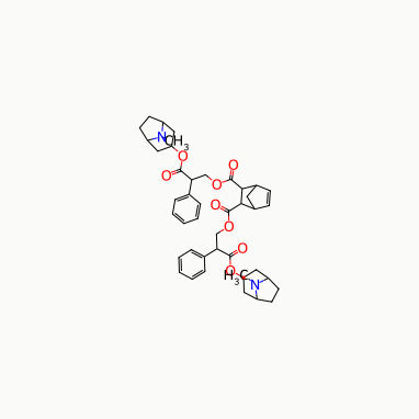 CN1C2CCC1CC(OC(=O)C(COC(=O)C1C3C=CC(C3)C1C(=O)OCC(C(=O)OC1CC3CCC(C1)N3C)c1ccccc1)c1ccccc1)C2